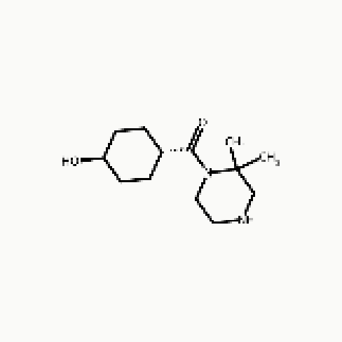 CC1(C)CNCCN1C(=O)[C@H]1CC[C@H](O)CC1